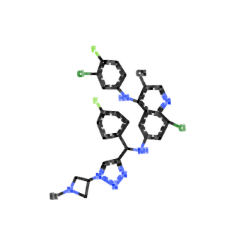 CCN1CC(n2cc(C(Nc3cc(Cl)c4ncc(C#N)c(Nc5ccc(F)c(Cl)c5)c4c3)c3ccc(F)cc3)nn2)C1